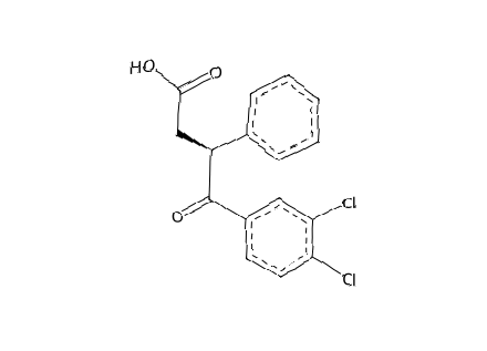 O=C(O)C[C@H](C(=O)c1ccc(Cl)c(Cl)c1)c1ccccc1